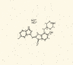 Cc1ccc2[nH]cc(C=C3Oc4c(ccc(O)c4CN4CCNCC4)C3=O)c2c1.Cl.Cl